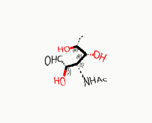 CC(=O)N[C@@H]([C@@H](O)[C@@H](C)O)[C@H](O)C=O